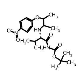 CC(N[C@H](C(=O)NC(=O)OC(C)(C)C)C(C)C)C(C)Oc1ccc([N+](=O)[O-])cc1